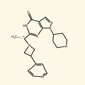 C[C@H](c1nc2c(cnn2C2CCOCC2)c(=O)[nH]1)N1CC(c2ccncc2)C1